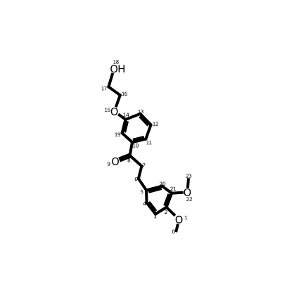 COc1ccc(CCC(=O)c2cccc(OCCO)c2)cc1OC